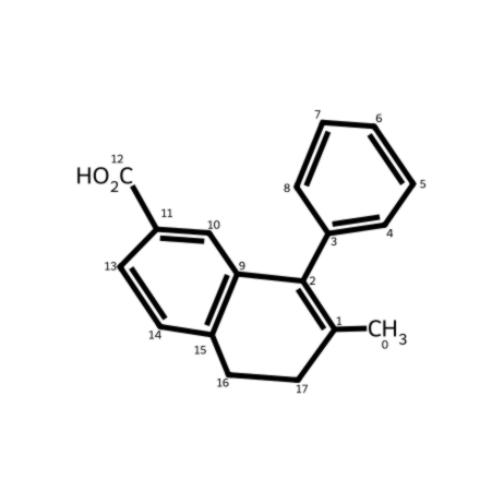 CC1=C(c2ccccc2)c2cc(C(=O)O)ccc2CC1